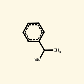 CCCCC(C)c1[c]cc[c]c1